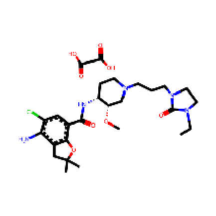 CCN1CCN(CCCN2CC[C@@H](NC(=O)c3cc(Cl)c(N)c4c3OC(C)(C)C4)[C@@H](OC)C2)C1=O.O=C(O)C(=O)O